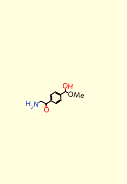 COC(O)c1ccc(C(=O)CN)cc1